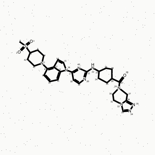 CS(=O)(=O)C1CCN(c2cccc3c2ccn3-c2ccnc(NC3CCC(C(=O)N4CCn5cnnc5C4)CC3)n2)CC1